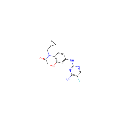 Nc1nc(Nc2ccc3c(c2)OCC(=O)N3CC2CC2)ncc1F